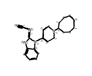 N#C/N=c1\[nH]c2ccccc2n1C1CCN(C2CCCCCCC2)CC1